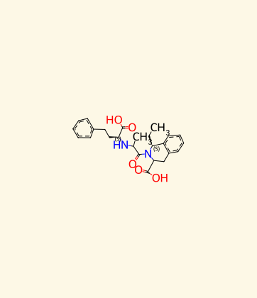 CC[C@H]1c2ccccc2CC(C(=O)O)N1C(=O)C(C)N[C@@H](CCc1ccccc1)C(=O)O